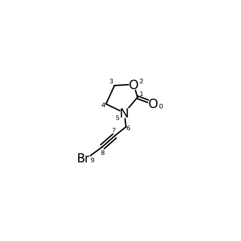 O=C1OCCN1CC#CBr